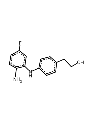 Nc1ccc(F)cc1Nc1ccc(CCO)cc1